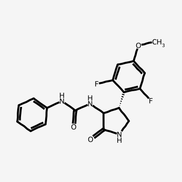 COc1cc(F)c([C@@H]2CNC(=O)C2NC(=O)Nc2ccccc2)c(F)c1